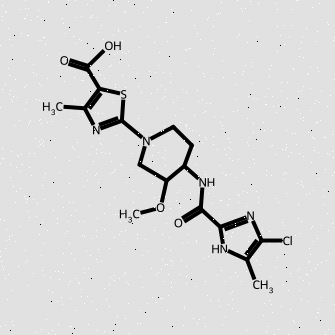 COC1CN(c2nc(C)c(C(=O)O)s2)CCC1NC(=O)c1nc(Cl)c(C)[nH]1